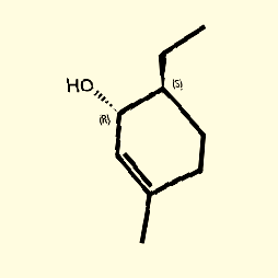 CC[C@H]1CCC(C)=C[C@@H]1O